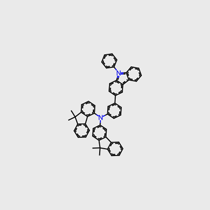 CC1(C)c2ccccc2-c2cc(N(c3cccc(-c4ccc5c(c4)c4ccccc4n5-c4ccccc4)c3)c3cccc4c3-c3ccccc3C4(C)C)ccc21